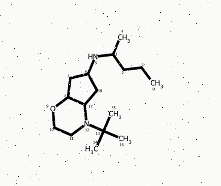 CCCC(C)NC1CC2OCCN(C(C)(C)C)C2C1